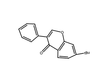 CC(C)(C)c1ccc2c(=O)c(-c3ccccc3)coc2c1